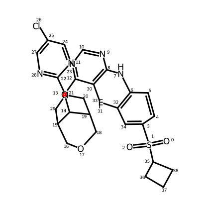 O=S(=O)(c1ccc(Nc2ncnc(OC3C4COCC3CN(c3ncc(Cl)cn3)C4)c2F)c(F)c1)C1CCC1